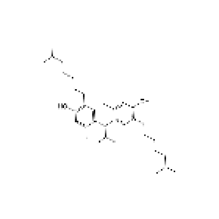 Cc1cc(O)c(CCCCCC(C)C)cc1C(c1cc(CCCCCC(C)C)c(O)cc1C)C(C)C